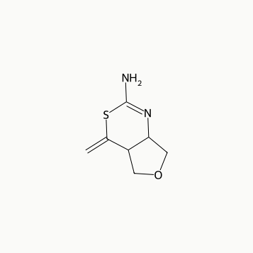 C=C1SC(N)=NC2COCC12